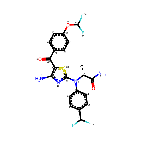 C[C@H](C(N)=O)N(c1ccc(C(F)F)cc1)c1nc(N)c(C(=O)c2ccc(OC(F)F)cc2)s1